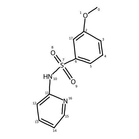 COc1cccc(S(=O)(=O)Nc2c[c]ccn2)c1